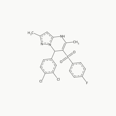 CC1=C(S(=O)(=O)c2ccc(F)cc2)C(c2ccc(Cl)c(Cl)c2)n2nc(C)cc2N1